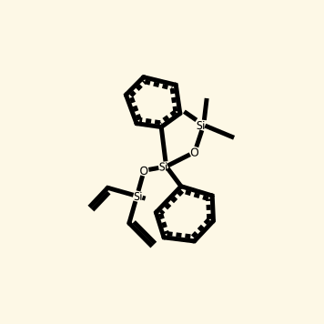 C=C[Si](C)(C=C)O[Si](O[Si](C)(C)C)(c1ccccc1)c1ccccc1